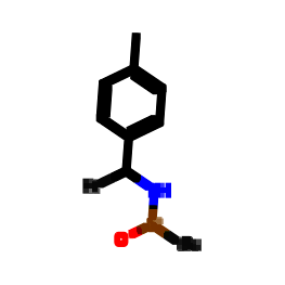 CCC(N[S+]([O-])C(C)(C)C)c1ccc(C)cc1